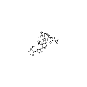 COc1c(Nc2cc(NC(=O)C3CC3)nnc2C(N)=O)cccc1-c1cnn([C@H]2CCCC2I)c1